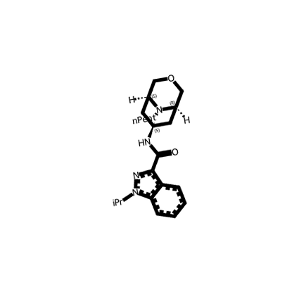 CCCCCN1[C@@H]2COC[C@H]1C[C@@H](NC(=O)c1nn(C(C)C)c3ccccc13)C2